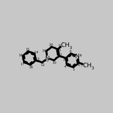 CC1=C(c2ccc(C)nc2)CN(Cc2ccccc2)CC1